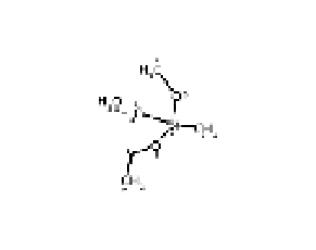 CCO[Si](C)(C)OC.O